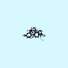 C[C@]12CC[C@H]3[C@@H](CCC4=CC(=O)CC[C@@]43CC(=O)O)[C@@H]1CCC2=O